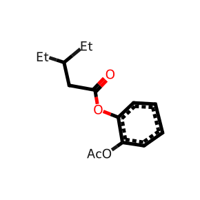 CCC(CC)CC(=O)Oc1ccccc1OC(C)=O